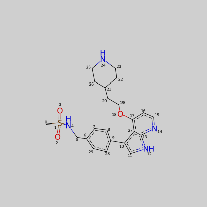 CS(=O)(=O)NCc1ccc(-c2c[nH]c3nccc(OCCC4CCNCC4)c23)cc1